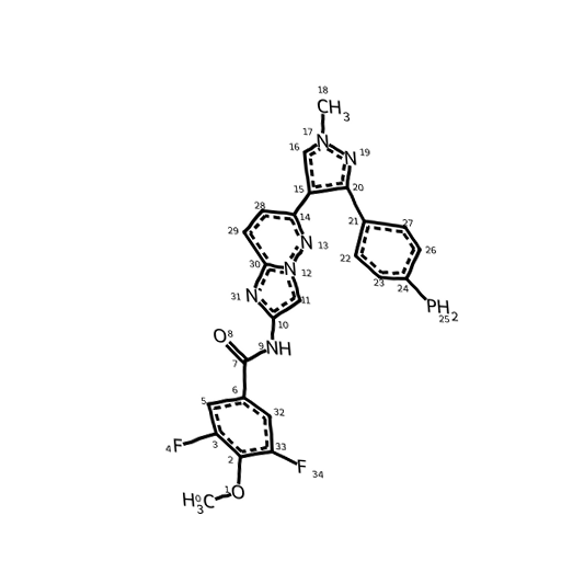 COc1c(F)cc(C(=O)Nc2cn3nc(-c4cn(C)nc4-c4ccc(P)cc4)ccc3n2)cc1F